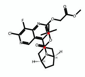 COC(=O)COc1nc(N2C[C@H]3CC[C@@H](C2)N3C(=O)OC(C)(C)C)c2cnc(Cl)c(F)c2n1